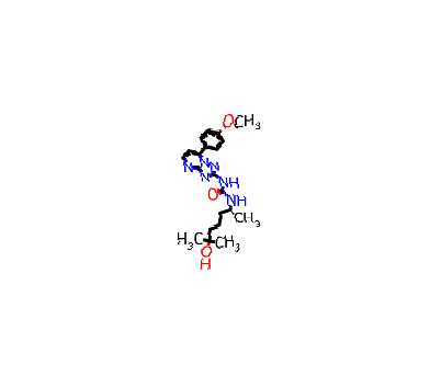 COc1ccc(-c2ccnc3nc(NC(=O)N[C@H](C)CCCC(C)(C)O)nn23)cc1